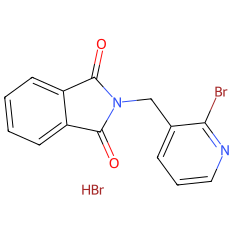 Br.O=C1c2ccccc2C(=O)N1Cc1cccnc1Br